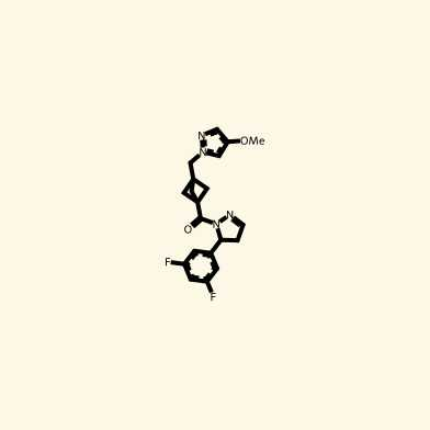 COc1cnn(CC23CC(C(=O)N4N=CCC4c4cc(F)cc(F)c4)(C2)C3)c1